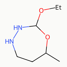 CCOC1NNCCC(C)O1